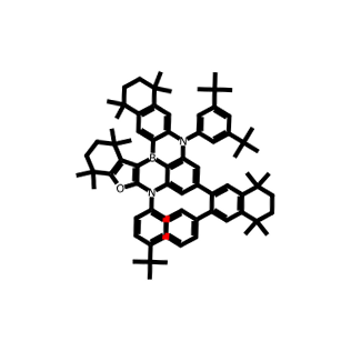 CC(C)(C)c1ccc(N2c3cc(-c4cc5c(cc4-c4ccccc4)C(C)(C)CCC5(C)C)cc4c3B(c3cc5c(cc3N4c3cc(C(C)(C)C)cc(C(C)(C)C)c3)C(C)(C)CCC5(C)C)c3c2oc2c3C(C)(C)CCC2(C)C)cc1